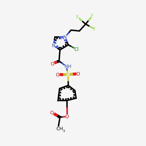 CC(=O)Oc1ccc(S(=O)(=O)NC(=O)c2ncn(CCC(F)(F)F)c2Cl)cc1